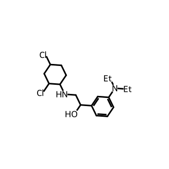 CCN(CC)c1cccc(C(O)CNC2CCC(Cl)CC2Cl)c1